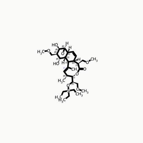 CC[Si](CC)(CC)O[C@H](COC)[C@H]1OC(=O)[C@H](COC)[C@H]2C=C[C@H]3[C@H]4O[C@]2(/C(C)=C/[C@H]1C)[C@@H]3[C@H](O)[C@@H](COC)[C@H]4O